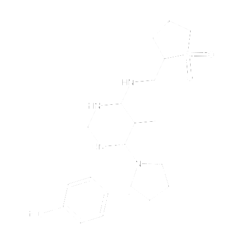 O=S1(=O)CCCC1CNC1NCNC(N2CCC[C@@H]2c2ccc(C(F)(F)F)cc2)C1F